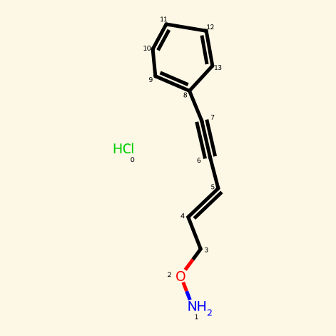 Cl.NOCC=CC#Cc1ccccc1